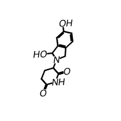 O=C1CCC(N2Cc3ccc(O)cc3C2O)C(=O)N1